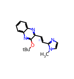 Cn1ccnc1/C=C/c1nc2ccccc2nc1OC(C)(C)C